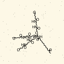 CCC(=O)CCCCCCCCCCC(=O)NC(COCCC(=O)NCCCNC(=O)CCCCOC)(COCCC(=O)NCCCNC(=O)CCCCOC)COCCC(=O)NCCCNC(=O)CCCCOC